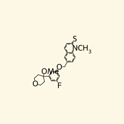 COC1(c2cc(F)cc(OCc3ccc4c(ccc(=S)n4C)c3)c2)CCOCC1